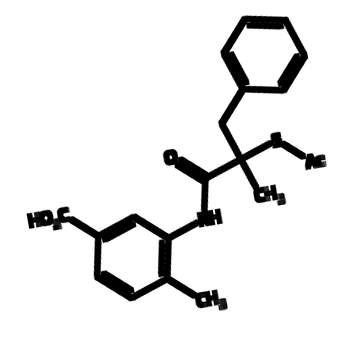 CC(=O)SC(C)(Cc1ccccc1)C(=O)Nc1cc(C(=O)O)ccc1C